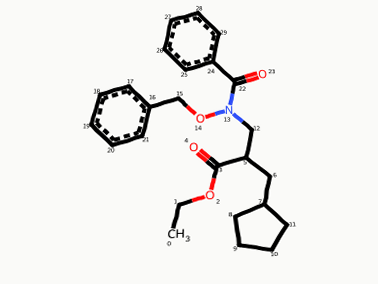 CCOC(=O)C(CC1CCCC1)CN(OCc1ccccc1)C(=O)c1ccccc1